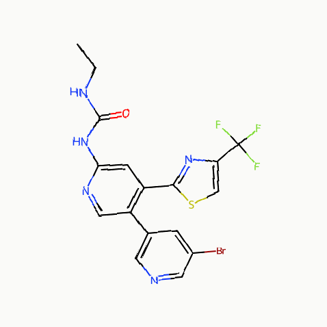 CCNC(=O)Nc1cc(-c2nc(C(F)(F)F)cs2)c(-c2cncc(Br)c2)cn1